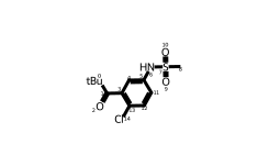 CC(C)(C)C(=O)c1cc(NS(C)(=O)=O)ccc1Cl